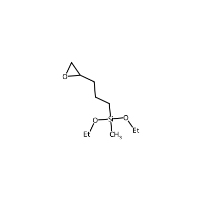 CCO[Si](C)(CCCC1CO1)OCC